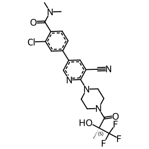 CN(C)C(=O)c1ccc(-c2cnc(N3CCN(C(=O)[C@](C)(O)C(F)(F)F)CC3)c(C#N)c2)cc1Cl